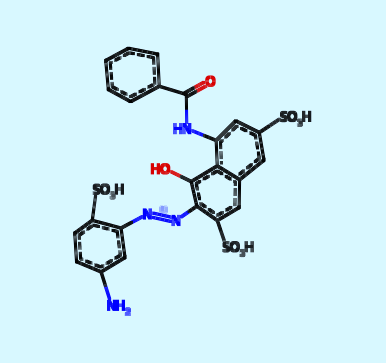 Nc1ccc(S(=O)(=O)O)c(/N=N/c2c(S(=O)(=O)O)cc3cc(S(=O)(=O)O)cc(NC(=O)c4ccccc4)c3c2O)c1